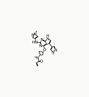 C=CC(=O)N(C)C1CC(Oc2nc(Nc3cnn(C)c3)nc3[nH]cc(-c4cnn(C)c4)c23)C1